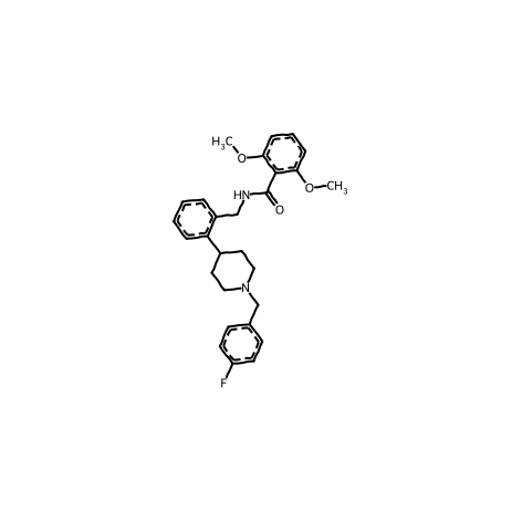 COc1cccc(OC)c1C(=O)NCc1ccccc1C1CCN(Cc2ccc(F)cc2)CC1